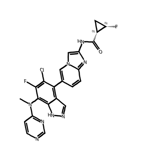 CN(c1ccncn1)c1c(F)c(Cl)c(-c2ccc3nc(NC(=O)[C@@H]4C[C@@H]4F)cn3c2)c2cn[nH]c12